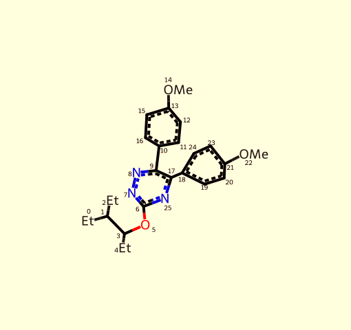 CCC(CC)C(CC)Oc1nnc(-c2ccc(OC)cc2)c(-c2ccc(OC)cc2)n1